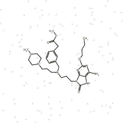 CCCCOc1nc(N)c2[nH]c(=O)n(CCCN(CCCN3CCN(C)CC3)Cc3cccc(CC(=O)OC)c3)c2n1